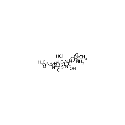 CC(=O)NCc1cn2ccc(Sc3nc(CO)c(N4CCC5(CC4)CO[C@@H](C)[C@H]5N)nc3C)c(Cl)c2n1.Cl